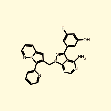 Nc1ncnc2c1c(-c1cc(O)cc(F)c1)nn2Cc1cc2cccnn2c1-c1ccccn1